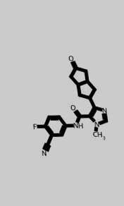 Cn1cnc(C2CC3CC(=O)CC3C2)c1C(=O)Nc1ccc(F)c(C#N)c1